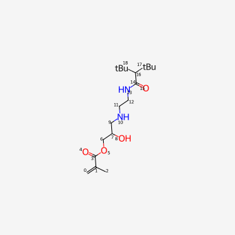 C=C(C)C(=O)OCC(O)CNCCNC(=O)C(C(C)(C)C)C(C)(C)C